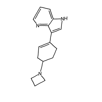 C1=C(c2c[nH]c3cccnc23)CCC(N2CCC2)C1